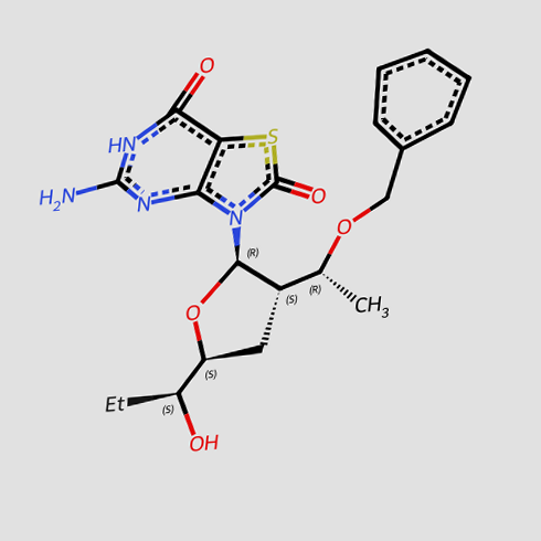 CC[C@H](O)[C@@H]1C[C@@H]([C@@H](C)OCc2ccccc2)[C@H](n2c(=O)sc3c(=O)[nH]c(N)nc32)O1